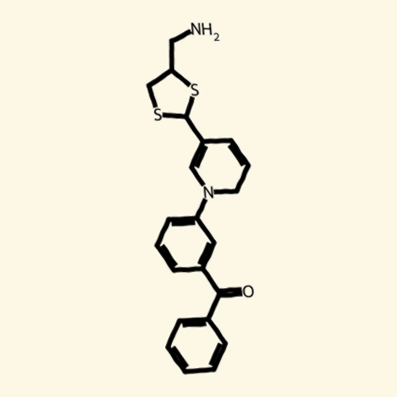 NCC1CSC(C2=CN(c3cccc(C(=O)c4ccccc4)c3)CC=C2)S1